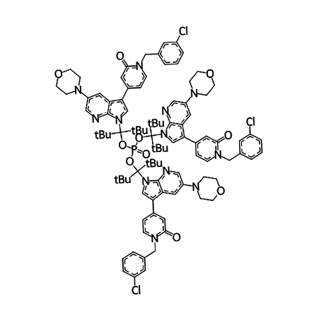 CC(C)(C)C(OP(=O)(OC(n1cc(-c2ccn(Cc3cccc(Cl)c3)c(=O)c2)c2cc(N3CCOCC3)cnc21)(C(C)(C)C)C(C)(C)C)OC(n1cc(-c2ccn(Cc3cccc(Cl)c3)c(=O)c2)c2cc(N3CCOCC3)cnc21)(C(C)(C)C)C(C)(C)C)(n1cc(-c2ccn(Cc3cccc(Cl)c3)c(=O)c2)c2cc(N3CCOCC3)cnc21)C(C)(C)C